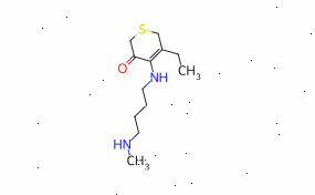 CCC1=C(NCCCCNC)C(=O)CSC1